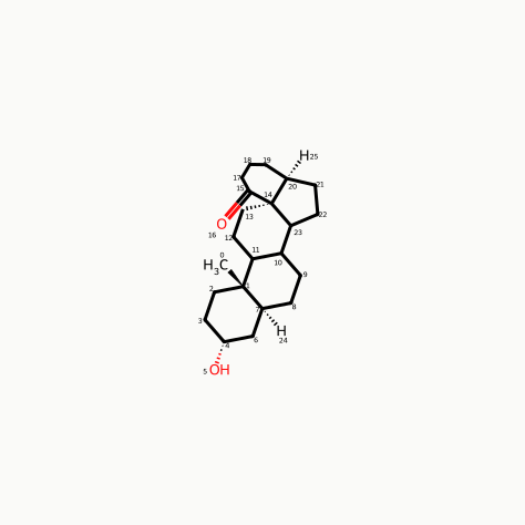 C[C@]12CC[C@@H](O)C[C@@H]1CCC1C2CC[C@]23C(=O)CCC[C@H]2CCC13